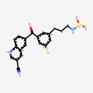 N#Cc1cnc2ccc(C(=O)c3cc(F)cc(CCCN[SH](=O)=O)c3)cc2c1